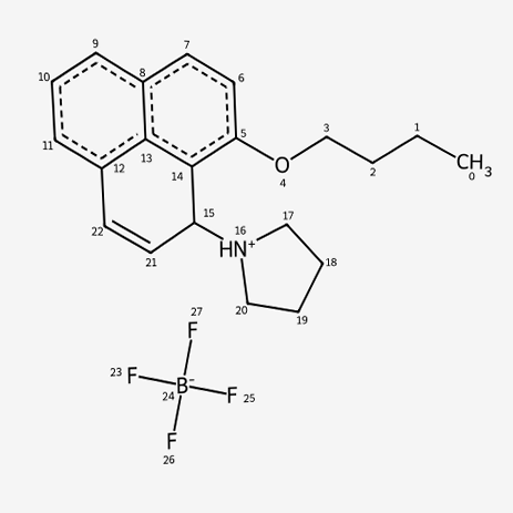 CCCCOc1ccc2cccc3c2c1C([NH+]1CCCC1)C=C3.F[B-](F)(F)F